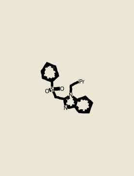 CC(C)Cn1c(CS(=O)(=O)c2ccccc2)nc2ccccc21